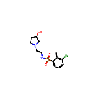 Cc1c(Br)cccc1S(=O)(=O)NCCN1CC[C@@H](O)C1